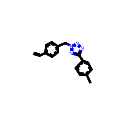 C=Cc1ccc(Cn2nnc(-c3ccc(C)cc3)n2)cc1